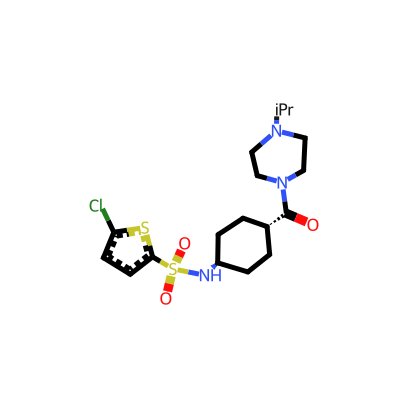 CC(C)N1CCN(C(=O)[C@H]2CC[C@H](NS(=O)(=O)c3ccc(Cl)s3)CC2)CC1